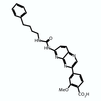 COc1cc(-c2cnc3ccc(NC(=O)NCCCCc4ccccc4)nc3n2)ccc1C(=O)O